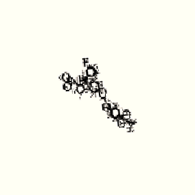 COC(=O)N[C@H]1CCC[C@@H]1C(C)(c1cccc(F)c1)[C@H]1CC[C@H](OCCOc2ccc(S(=O)(=O)C3CC3)cc2)CC1